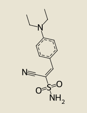 CCN(CC)c1ccc(/C=C(\C#N)S(N)(=O)=O)cc1